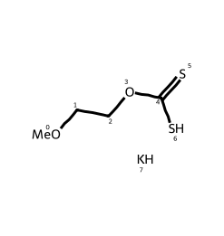 COCCOC(=S)S.[KH]